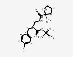 CC(C)(C)OC(=O)N(CNC(=O)C1(C)CCCN1)Cc1ccc(Cl)cc1